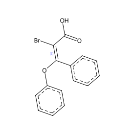 O=C(O)/C(Br)=C(/Oc1ccccc1)c1ccccc1